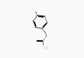 NC(=S)Cc1ccc(F)cc1